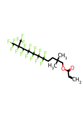 C=CC(=O)OCC(C)(C)CCC(F)(F)C(F)(F)C(F)(F)C(F)(F)C(F)(F)C(F)(C(F)(F)F)C(F)(F)F